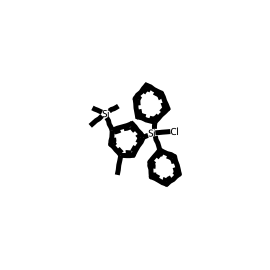 Cc1cc([Si](C)(C)C)cc([Si](Cl)(c2ccccc2)c2ccccc2)c1